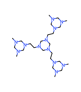 CN1CN(C)CN(CCN2CN(CCN3CN(C)CN(C)C3)CN(CCN3CN(C)CN(C)C3)C2)C1